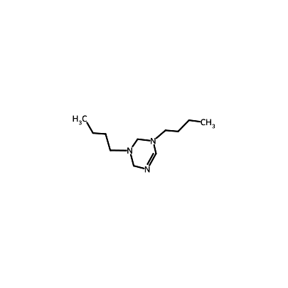 CCCCN1C=NCN(CCCC)C1